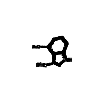 CC(=O)Oc1cccc2[nH]cc(C=O)c12